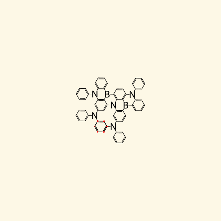 c1ccc(N(c2ccccc2)c2ccc3c(c2)N2c4cc(N(c5ccccc5)c5ccccc5)cc5c4B(c4ccccc4N5c4ccccc4)c4ccc5c(c42)B3c2ccccc2N5c2ccccc2)cc1